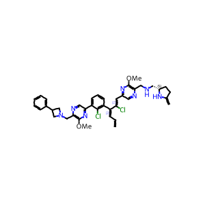 C=C/C=C(\C(Cl)=C\c1cnc(CNC[C@@H]2CCC(=C)N2)c(OC)n1)c1cccc(-c2cnc(CN3CC(c4ccccc4)C3)c(OC)n2)c1Cl